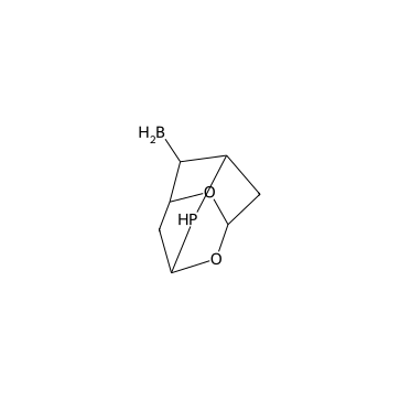 BC1C2CC3OC(CC1P3)O2